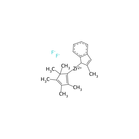 CC1=Cc2ccccc2[CH]1[Zr+2][C]1=C(C)C(C)=C(C)C1(C)C.[F-].[F-]